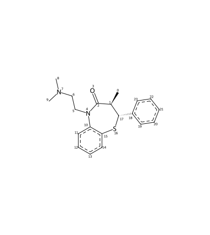 C[C@@H]1C(=O)N(CCN(C)C)c2ccccc2S[C@H]1c1ccccc1